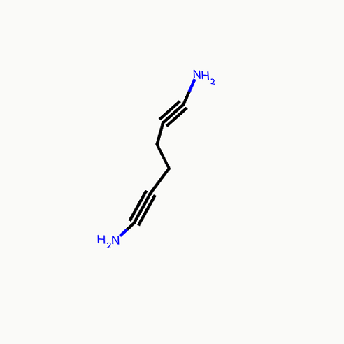 NC#CCCC#CN